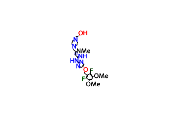 CN/C(=C\C(=N)Nc1ncc(OCc2c(F)c(OC)cc(OC)c2F)cn1)CN1CCN(CCO)CC1